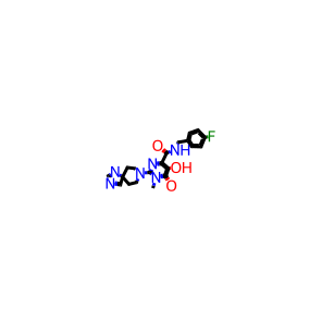 Cn1c(N2CCC3(C=NC=N3)CC2)nc(C(=O)NCc2ccc(F)cc2)c(O)c1=O